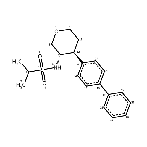 CC(C)S(=O)(=O)N[C@@H]1COCC[C@H]1c1ccc(-c2ccccc2)cc1